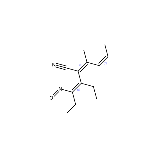 C\C=C/C(C)=C(C#N)\C(CC)=C(\CC)N=O